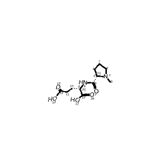 CN1CCC[C@H]1C(=O)N[C@@H](CCC(=O)O)C(=O)O